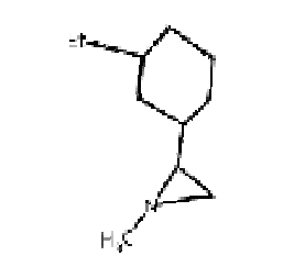 CCC1CCCC(C2CN2C)C1